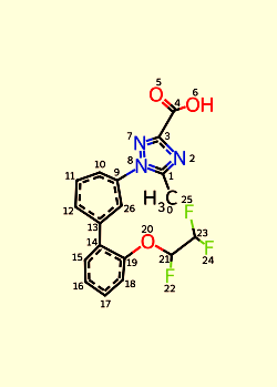 Cc1nc(C(=O)O)nn1-c1cccc(-c2ccccc2OC(F)C(F)F)c1